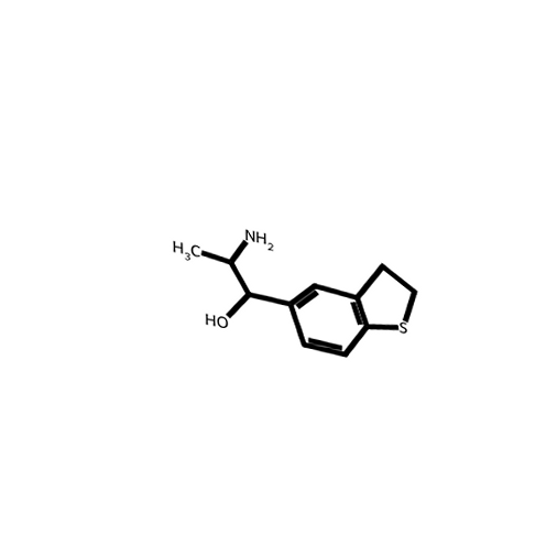 CC(N)C(O)c1ccc2c(c1)CCS2